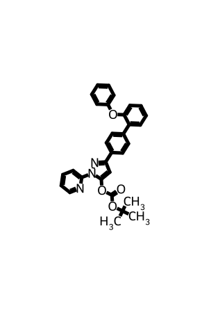 CC(C)(C)OC(=O)Oc1cc(-c2ccc(-c3ccccc3Oc3ccccc3)cc2)nn1-c1ccccn1